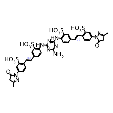 CC1=NN(c2ccc(/C=C/c3ccc(Nc4nc(N)nc(Nc5ccc(/C=C/c6ccc(N7N=C(C)CC7=O)cc6S(=O)(=O)O)cc5S(=O)(=O)O)n4)c(S(=O)(=O)O)c3)c(S(=O)(=O)O)c2)C(=O)C1